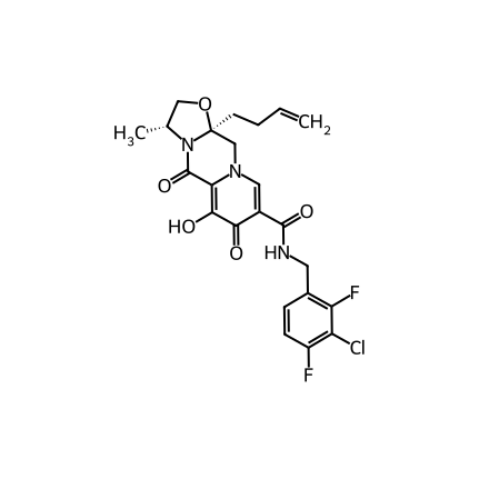 C=CCC[C@]12Cn3cc(C(=O)NCc4ccc(F)c(Cl)c4F)c(=O)c(O)c3C(=O)N1[C@H](C)CO2